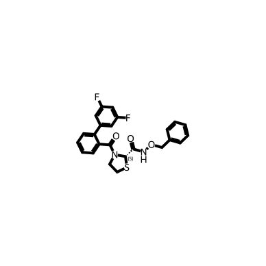 O=C(NOCc1ccccc1)[C@@H]1SCCN1C(=O)c1ccccc1-c1cc(F)cc(F)c1